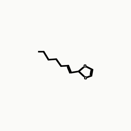 CCCCCC=CC1OC=CO1